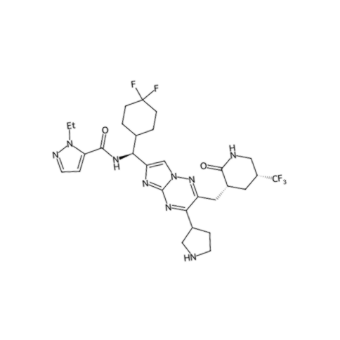 CCn1nccc1C(=O)N[C@H](c1cn2nc(C[C@H]3C[C@@H](C(F)(F)F)CNC3=O)c(C3CCNC3)nc2n1)C1CCC(F)(F)CC1